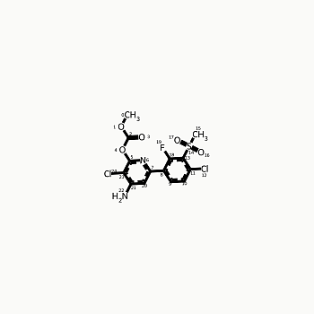 COC(=O)Oc1nc(-c2ccc(Cl)c(S(C)(=O)=O)c2F)cc(N)c1Cl